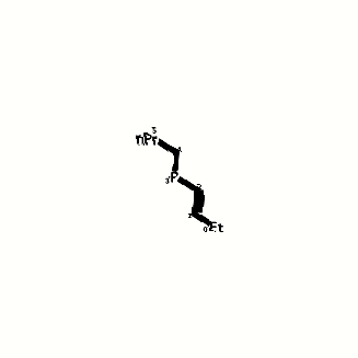 CC/C=C/[P]CCCC